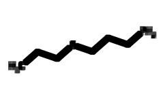 CCCSCCCP